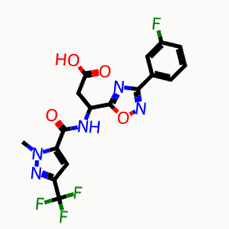 Cn1nc(C(F)(F)F)cc1C(=O)NC(CC(=O)O)c1nc(-c2cccc(F)c2)no1